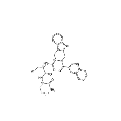 CC(C)C[C@H](NC(=O)[C@H]1Cc2c([nH]c3ccccc23)CN1C(=O)c1cnc2ccccc2c1)C(=O)N[C@@H](CC(=O)O)C(N)=O